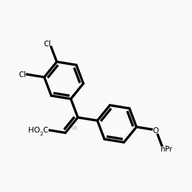 CCCOc1ccc(/C(=C/C(=O)O)c2ccc(Cl)c(Cl)c2)cc1